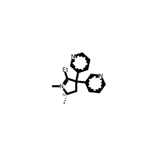 CCC1=[N+](C)[C@@H](C)CC1(c1cccnc1)c1cccnc1